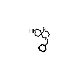 CN1CCN(Cc2ccccc2)CC12CCNCC2